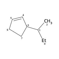 CCC(C)[C]1C=CCC1